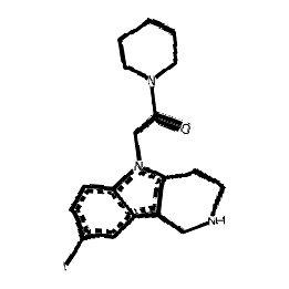 O=C(Cn1c2c(c3cc(I)ccc31)CNCC2)N1CCCCC1